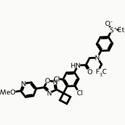 CC[S+]([O-])c1ccc(N(CC(=O)Nc2cc(Cl)c(C3(c4noc(-c5ccc(OC)nc5)n4)CCC3)c(Cl)c2)CC(F)(F)F)cc1